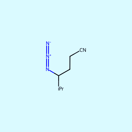 CC(C)C(CCC#N)N=[N+]=[N-]